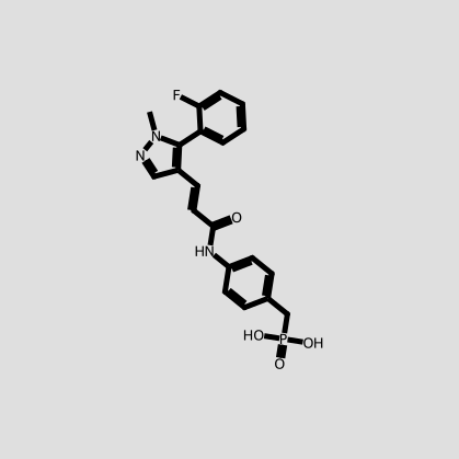 Cn1ncc(/C=C/C(=O)Nc2ccc(CP(=O)(O)O)cc2)c1-c1ccccc1F